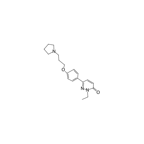 CCn1nc(-c2ccc(OCCCN3CCCC3)cc2)ccc1=O